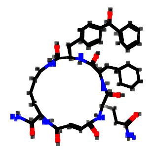 NC(=O)CC[C@@H]1NC(=O)/C=C/C(=O)NC(C(N)=O)CCCCNC(=O)[C@@H](Cc2ccc(C(=O)c3ccccc3)cc2)NC(=O)C(CC2CCCCC2)NC1=O